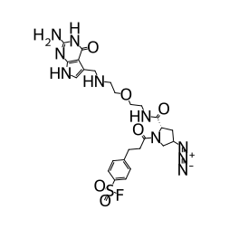 [N-]=[N+]=NC1C[C@@H](C(=O)NCCOCCNCc2c[nH]c3nc(N)[nH]c(=O)c23)N(C(=O)CCc2ccc(S(=O)(=O)F)cc2)C1